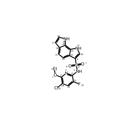 CCOc1nc(NS(=O)(=O)c2c[nH]c3c2ccc2cc[nH]c23)c(F)cc1Cl